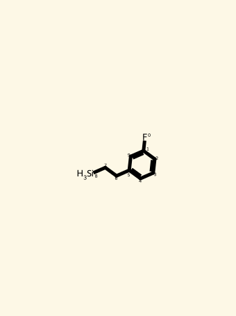 Fc1cccc(CC[SiH3])c1